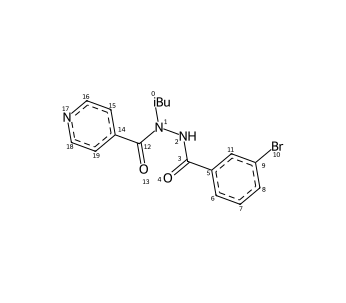 CCC(C)N(NC(=O)c1cccc(Br)c1)C(=O)c1ccncc1